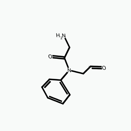 NCC(=O)N(C[C]=O)c1ccccc1